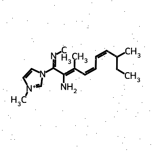 CCC(C)\C=C/C=C\C(C)=C(N)\C(=N/C)n1cc[n+](C)c1